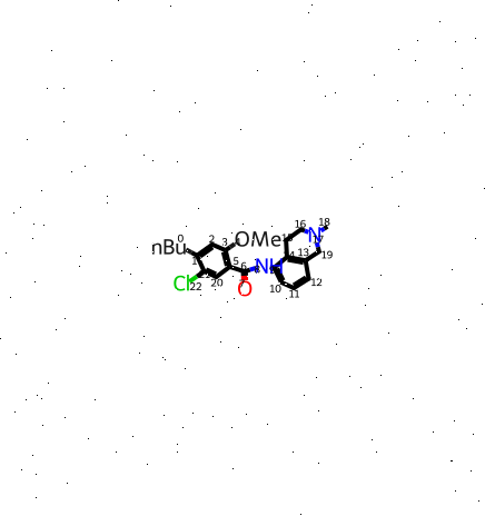 CCCCc1cc(OC)c(C(=O)Nc2cccc3c2CCN(C)C3)cc1Cl